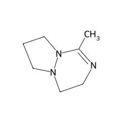 CC1=NCCN2CCCN12